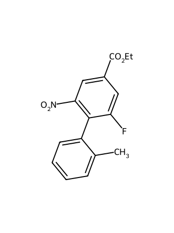 CCOC(=O)c1cc(F)c(-c2ccccc2C)c([N+](=O)[O-])c1